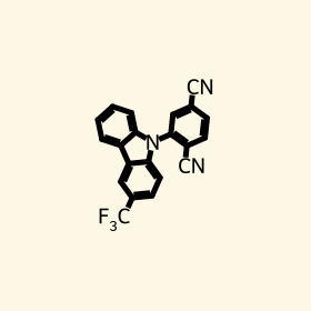 N#Cc1ccc(C#N)c(-n2c3ccccc3c3cc(C(F)(F)F)ccc32)c1